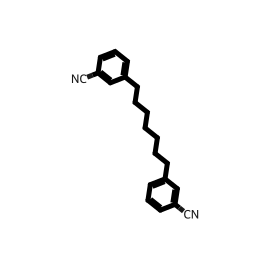 N#Cc1cccc(CCCCCCCc2cccc(C#N)c2)c1